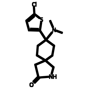 CN(C)C1(c2ccc(Cl)s2)CCC2(CC1)CNC(=O)C2